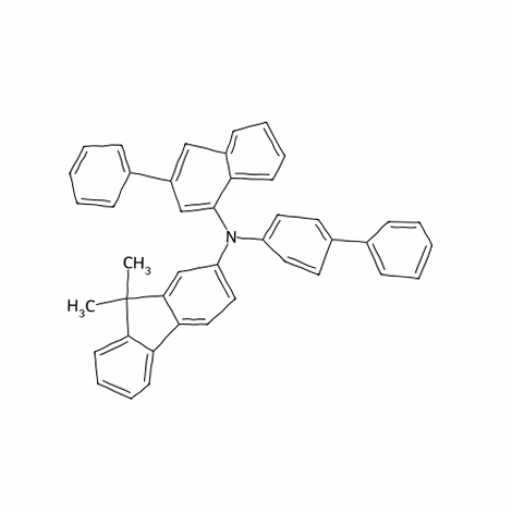 CC1(C)c2ccccc2-c2ccc(N(c3ccc(-c4ccccc4)cc3)c3cc(-c4ccccc4)cc4ccccc34)cc21